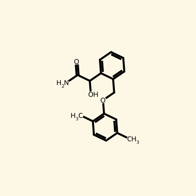 Cc1ccc(C)c(OCc2ccccc2C(O)C(N)=O)c1